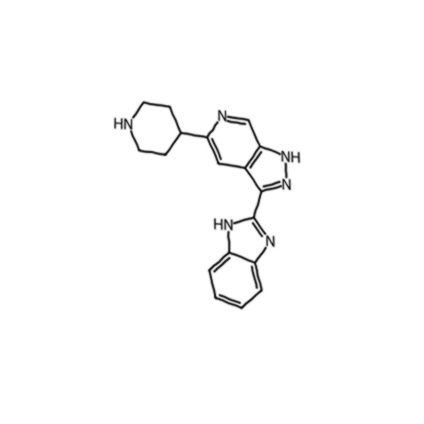 c1ccc2[nH]c(-c3n[nH]c4cnc(C5CCNCC5)cc34)nc2c1